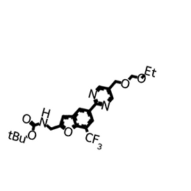 CCOCOCc1cnc(-c2cc(C(F)(F)F)c3oc(CNC(=O)OC(C)(C)C)cc3c2)nc1